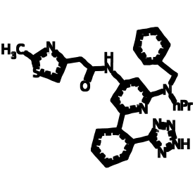 CCCN(Cc1ccccc1)c1cc(NC(=O)Cc2csc(C)n2)cc(-c2ccccc2-c2nn[nH]n2)n1